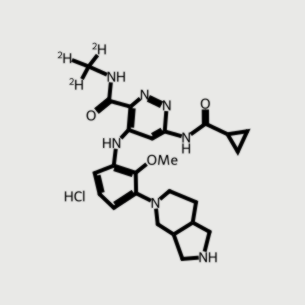 Cl.[2H]C([2H])([2H])NC(=O)c1nnc(NC(=O)C2CC2)cc1Nc1cccc(N2CCC3CNCC3C2)c1OC